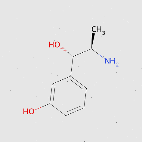 C[C@@H](N)[C@@H](O)c1cccc(O)c1